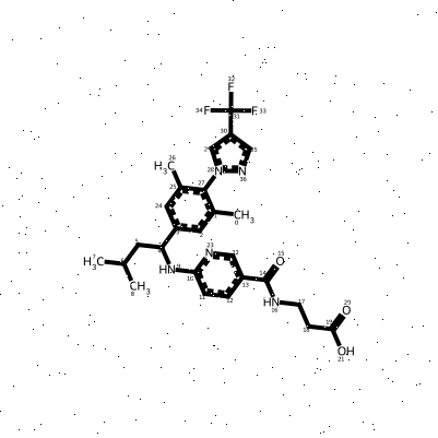 Cc1cc(C(CC(C)C)Nc2ccc(C(=O)NCCC(=O)O)cn2)cc(C)c1-n1cc(C(F)(F)F)cn1